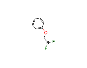 FB(F)COc1ccccc1